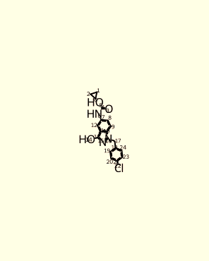 C1CC1.O=C(O)Nc1ccc2c(c1)c(O)nn2Cc1ccc(Cl)cc1